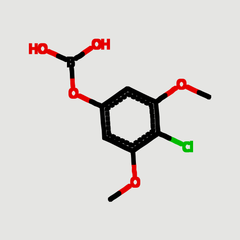 COc1cc(OB(O)O)cc(OC)c1Cl